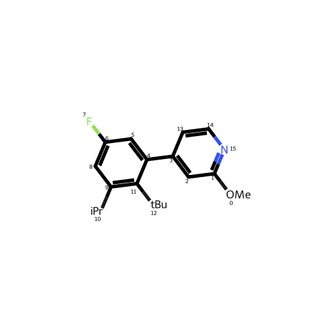 COc1cc(-c2cc(F)cc(C(C)C)c2C(C)(C)C)ccn1